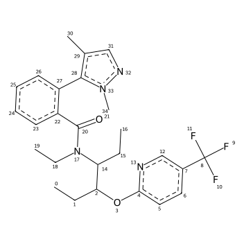 CCC(Oc1ccc(C(F)(F)F)cn1)C(CC)N(CC)C(=O)c1ccccc1-c1c(C)cnn1C